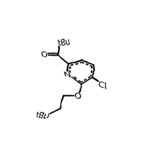 CC(C)(C)CCOc1nc(C(=O)C(C)(C)C)ccc1Cl